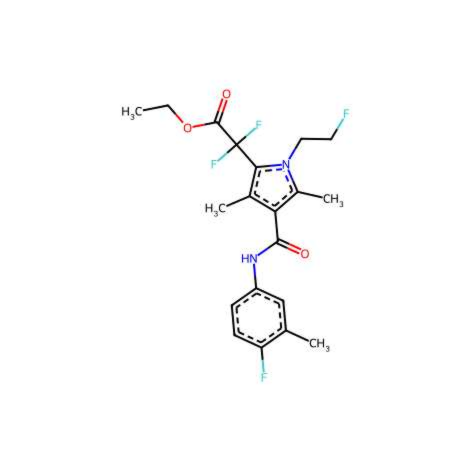 CCOC(=O)C(F)(F)c1c(C)c(C(=O)Nc2ccc(F)c(C)c2)c(C)n1CCF